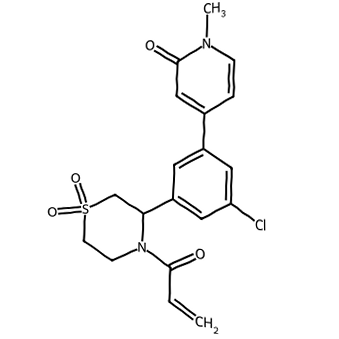 C=CC(=O)N1CCS(=O)(=O)CC1c1cc(Cl)cc(-c2ccn(C)c(=O)c2)c1